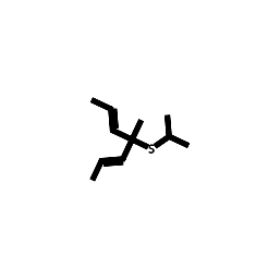 CC=CC(C)(C=CC)SC(C)C